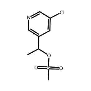 CC(OS(C)(=O)=O)c1cncc(Cl)c1